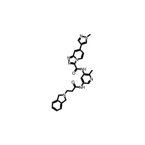 Cc1ncc(NC(=O)CCN2Cc3ccccc3C2)cc1NC(=O)c1nnc2cc(-c3cnn(C)c3)ccn12